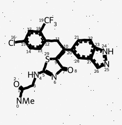 CNC(=O)CNC1=NC(=O)C(=C(Cc2ccc(Cl)cc2C(F)(F)F)c2ccc3[nH]ncc3c2)S1